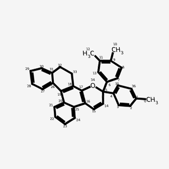 Cc1ccc(C2(c3ccc(C)c(C)c3)C=Cc3c(c4c(c5ccccc35)-c3ccccc3CC4)O2)cc1